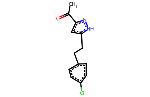 CC(=O)c1cc(CCc2ccc(Cl)cc2)[nH]n1